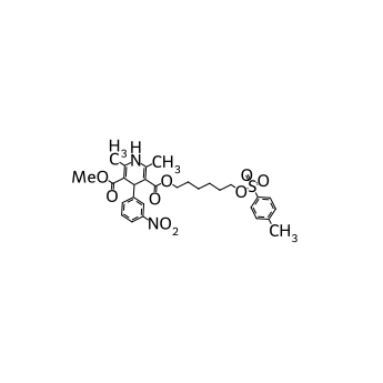 COC(=O)C1=C(C)NC(C)=C(C(=O)OCCCCCCOS(=O)(=O)c2ccc(C)cc2)C1c1cccc([N+](=O)[O-])c1